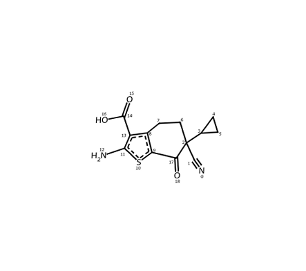 N#CC1(C2CC2)CCc2c(sc(N)c2C(=O)O)C1=O